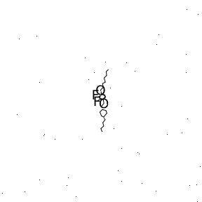 CCCCCCCOc1ccc(OC[C@H]2CC[C@H](CCCCC)CC2)c(F)c1F